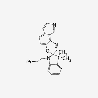 CC(C)CCN1c2ccccc2C(C)(C)C12C=Nc1c(ccc3ccncc13)O2